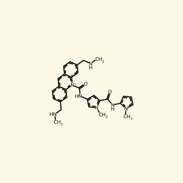 CNCc1ccc2cc3ccc(CNC)cc3[n+](C(=O)Nc3cc(C(=O)Nc4cccn4C)n(C)c3)c2c1